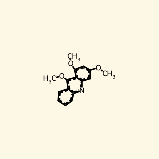 COc1cc(OC)c2c(OC)c3ccccc3nc2c1